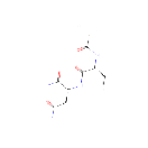 CC[C@H](C)[C@H](N)C(=O)N[C@@H](CC(C)C)C(=O)N[C@@H](CC(N)=O)C(N)=O